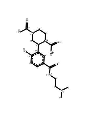 CN(C)CCNC(=O)c1ccc(Br)c(C2CN(C(=O)O)CCN2C(=O)O)c1